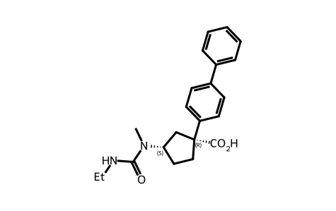 CCNC(=O)N(C)[C@H]1CC[C@](C(=O)O)(c2ccc(-c3ccccc3)cc2)C1